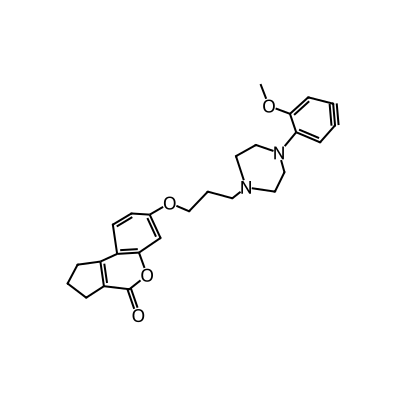 COc1cc#ccc1N1CCN(CCCOc2ccc3c4c(c(=O)oc3c2)CCC4)CC1